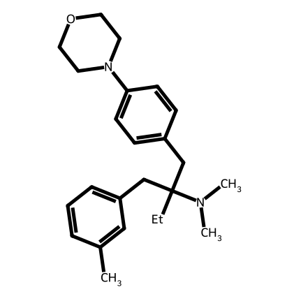 CCC(Cc1ccc(N2CCOCC2)cc1)(Cc1cccc(C)c1)N(C)C